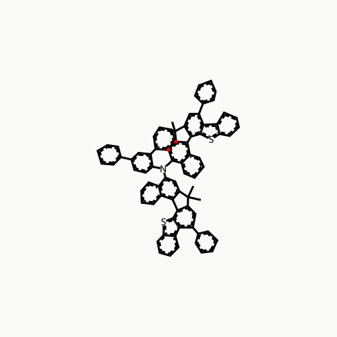 CC1(C)c2cc(N(c3ccc(-c4ccccc4)cc3-c3ccccc3)c3cc4c(c5ccccc35)-c3c(cc(-c5ccccc5)c5c3sc3ccccc35)C4(C)C)c3ccccc3c2-c2c1cc(-c1ccccc1)c1c2sc2ccccc21